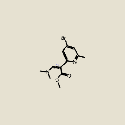 COC(=O)/C(=C\N(C)C)c1cc(Br)cc(C)n1